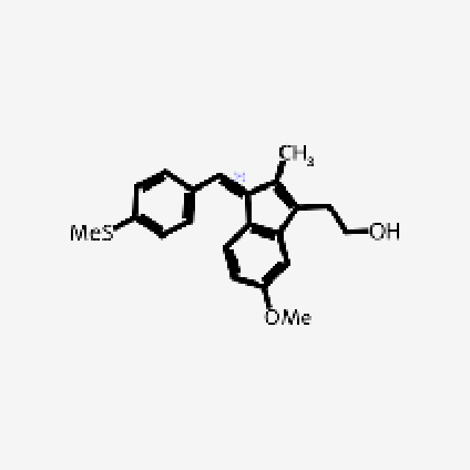 COc1ccc2c(c1)C(CCO)=C(C)/C2=C/c1ccc(SC)cc1